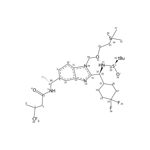 CC(CC(=O)N[C@H](C)c1ccc2c(c1)nc([C@@H](N[S@+]([O-])C(C)(C)C)C1CCC(F)(F)CC1)n2COCC[Si](C)(C)C)C(F)(F)F